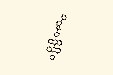 c1ccc(-c2ccn3cc(-c4ccc(-c5c6ccccc6c(-c6c7ccccc7c(-c7ccccc7)c7ccccc67)c6ccccc56)cc4)nc3c2)cc1